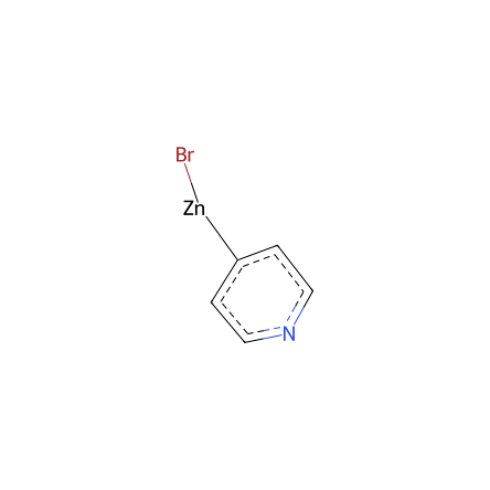 [Br][Zn][c]1ccncc1